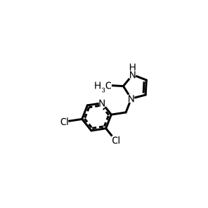 CC1NC=CN1Cc1ncc(Cl)cc1Cl